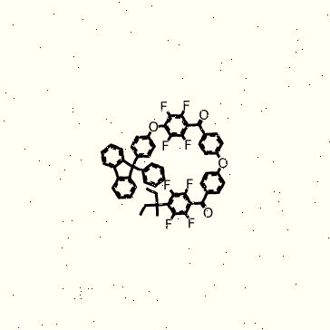 CCC(C)(CC)c1c(F)c(F)c(C(=O)c2ccc(Oc3ccc(C(=O)c4c(F)c(F)c(Oc5ccc(C6(c7ccccc7)c7ccccc7-c7ccccc76)cc5)c(F)c4F)cc3)cc2)c(F)c1F